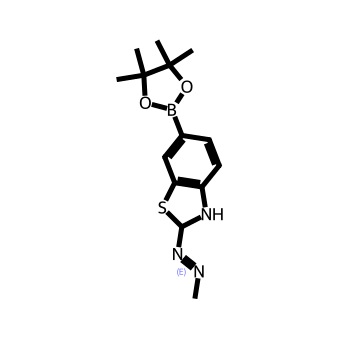 C/N=N/C1Nc2ccc(B3OC(C)(C)C(C)(C)O3)cc2S1